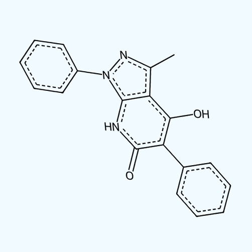 Cc1nn(-c2ccccc2)c2[nH]c(=O)c(-c3ccccc3)c(O)c12